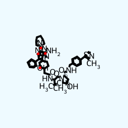 Cc1ncsc1-c1ccc(CNC(=O)[C@@H]2C[C@@H](O)CN2C(=O)C(NC(=O)CC2CCC(c3cnc(N4C5CCC4CN(c4cc(-c6ccccc6O)nnc4N)C5)nc3)CC2)C(C)(C)C)cc1